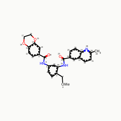 COCc1ccc(NC(=O)c2ccc3c(c2)OCCO3)cc1NC(=O)c1ccc2nc(C)ccc2c1